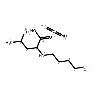 CCCCCNC(CC(C)C)C(=O)O.N=C=O